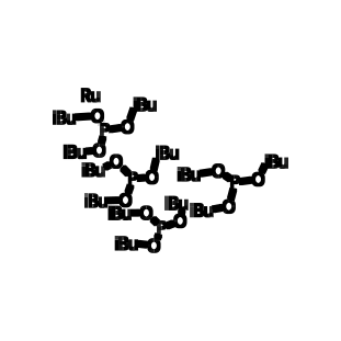 CCC(C)OP(OC(C)CC)OC(C)CC.CCC(C)OP(OC(C)CC)OC(C)CC.CCC(C)OP(OC(C)CC)OC(C)CC.CCC(C)OP(OC(C)CC)OC(C)CC.[Ru]